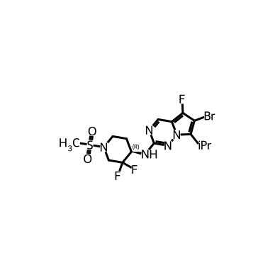 CC(C)c1c(Br)c(F)c2cnc(N[C@@H]3CCN(S(C)(=O)=O)CC3(F)F)nn12